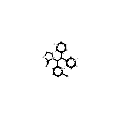 O=C1OCCN1C(c1cccc(Br)n1)C(c1cccnc1)c1cccnc1